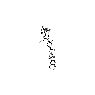 CCCc1cc(C(O)(C(F)(F)F)C(F)(F)F)ccc1N1CCN(C(=O)CN2CNC(C)(c3ccc4c(c3)OCCO4)C2)CC1C